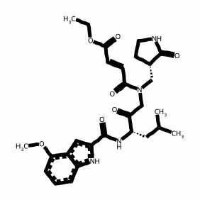 CCOC(=O)/C=C/C(=O)N(CC(=O)[C@H](CC(C)C)NC(=O)c1cc2c(OC)cccc2[nH]1)C[C@@H]1CCNC1=O